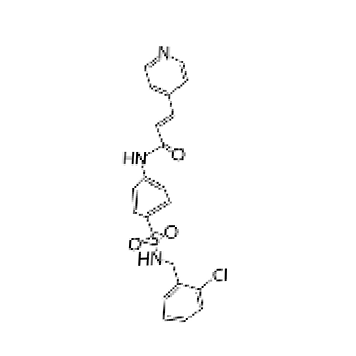 O=C(/C=C/c1ccncc1)Nc1ccc(S(=O)(=O)NCc2ccccc2Cl)cc1